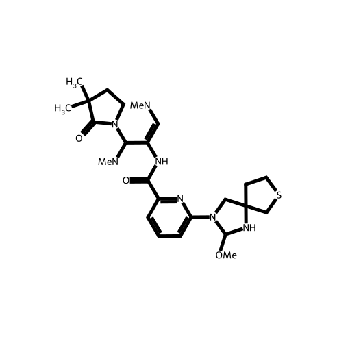 CN/C=C(/NC(=O)c1cccc(N2CC3(CCSC3)NC2OC)n1)C(NC)N1CCC(C)(C)C1=O